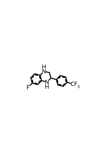 Fc1ccc2c(c1)NC(c1ccc(C(F)(F)F)cc1)CN2